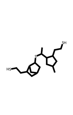 CC1CC(CCS)C(C(C)SC2CC3CC(CCS)C2C3)C1